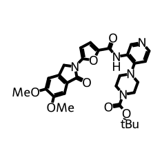 COc1cc2c(cc1OC)C(=O)N(c1ccc(C(=O)Nc3cnccc3N3CCN(C(=O)OC(C)(C)C)CC3)o1)C2